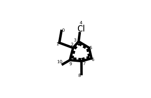 CCc1c(Cl)ccc(C)c1C